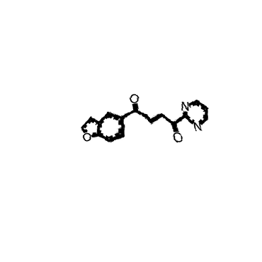 O=C(CCC(=O)c1ncccn1)c1ccc2occc2c1